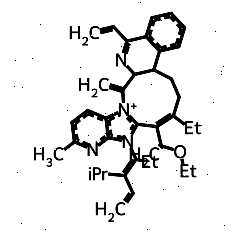 C=CC1=NC2C(=C)[n+]3c(n(/C(CC)=C(/C=C)C(C)C)c4nc(C)ccc43)/C(C(=C)OCC)=C(/CC)CCC2c2ccccc21